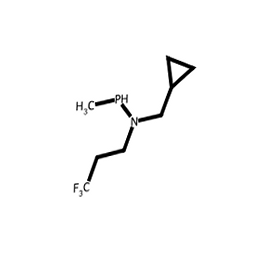 CPN(CCC(F)(F)F)CC1CC1